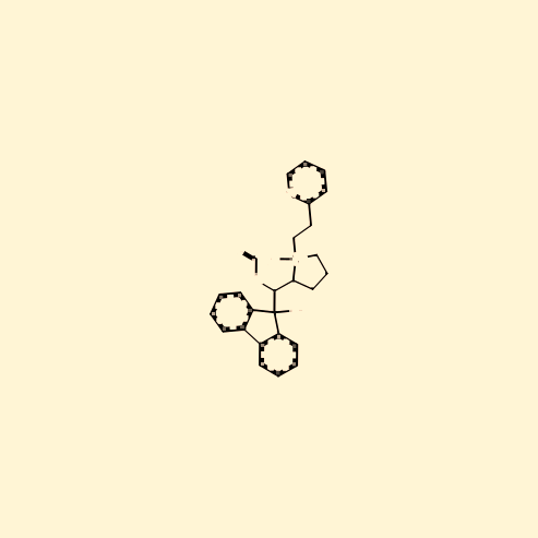 C[N+]1(CCc2ccccn2)CCCC1C(OC=O)C1(O)c2ccccc2-c2ccccc21